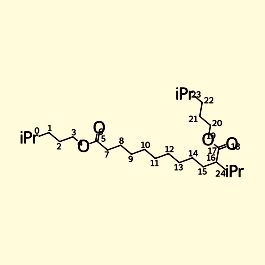 CC(C)CCCOC(=O)CCCCCCCCCC(C(=O)OCCCC(C)C)C(C)C